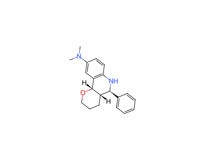 CN(C)c1ccc2c(c1)[C@H]1OCCC[C@H]1[C@H](c1ccccc1)N2